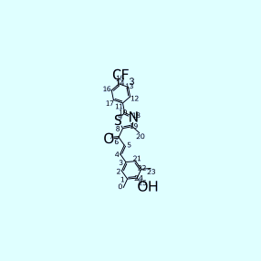 Cc1cc(/C=C/C(=O)c2sc(-c3ccc(C(F)(F)F)cc3)nc2C)cc(C)c1O